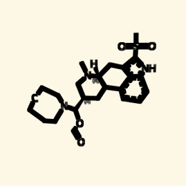 CN1C[C@H](C(OC=O)N2CCCCCC2)CC2c3cccc4[nH]c(S(C)(=O)=O)c(c34)C[C@H]21